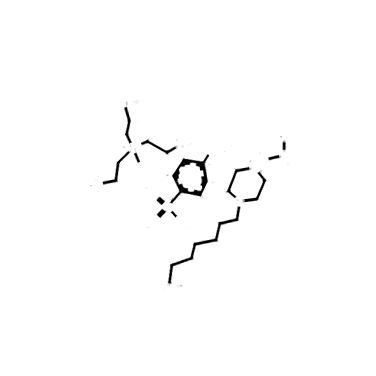 CCCCCCCCCCCCCCCCN1CCOCC1.CCCCCCCCCCCC[N+](C)(CCCCCCCCCCCC)CCCCCCCCCCCC.CCOS(=O)(=O)O.Cc1ccc(S(=O)(=O)[O-])cc1